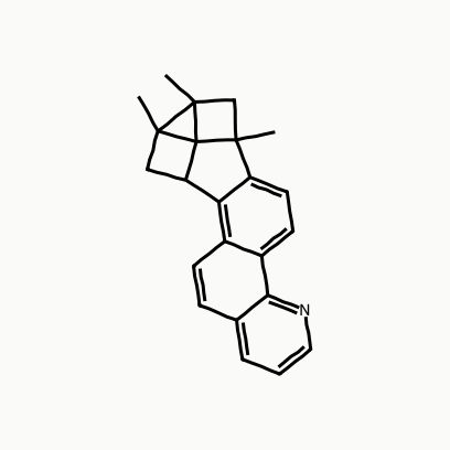 CC12CC3(C)C4(C)CC(c5c1ccc1c5ccc5cccnc51)C243